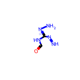 N=N/C(=N\N)NC=O